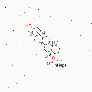 CCCCCCCC(=O)OC(=O)[C@]12CC[C@@H](C)[C@H](C)[C@H]1C1=CC[C@@H]3[C@@]4(C)CC[C@H](O)C(C)(C)C4CC[C@@]3(C)[C@]1(C)CC2